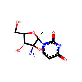 C[C@@]1(n2ccc(=O)[nH]c2=O)O[C@H](CO)[C@@H](O)[C@@]1(N)O